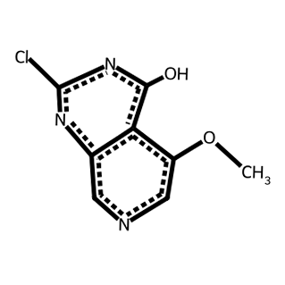 COc1cncc2nc(Cl)nc(O)c12